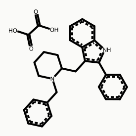 O=C(O)C(=O)O.c1ccc(CN2CCCCC2Cc2c(-c3ccccc3)[nH]c3ccccc23)cc1